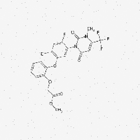 COC(=O)COc1ccccc1Oc1cc(-n2c(=O)cc(C(F)(F)F)n(C)c2=O)c(F)cc1Cl